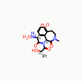 CC(C)[C@H](O)C(=O)N(C(=O)[C@H](C)N)[C@@H]1C(=O)N(C)CCc2ccccc21.O.O